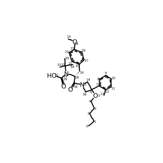 CCCCCOC1(c2ccccc2C)CN(C(=O)[C@@H](Cc2ccc(OC)cc2)N(C(=O)O)C(C)(C)C)C1